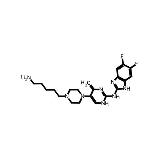 C=C1N=C(Nc2nc3cc(F)c(F)cc3[nH]2)NC=C1N1CCN(CCCCCN)CC1